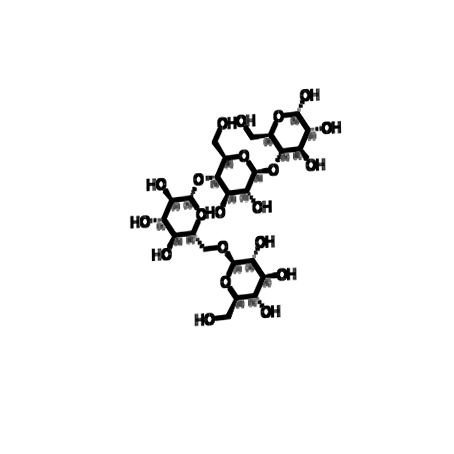 OC[C@H]1O[C@@H](OC[C@H]2O[C@@H](O[C@H]3[C@H](O)[C@@H](O)[C@H](O[C@H]4[C@H](O)[C@@H](O)[C@@H](O)O[C@@H]4CO)O[C@@H]3CO)[C@H](O)[C@@H](O)[C@@H]2O)[C@H](O)[C@@H](O)[C@@H]1O